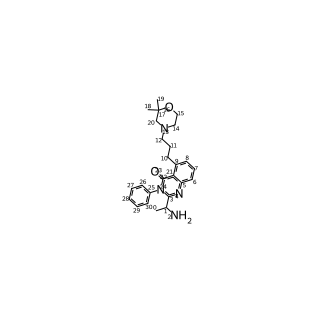 CC(N)c1nc2cccc(CCCN3CCOC(C)(C)C3)c2c(=O)n1-c1ccccc1